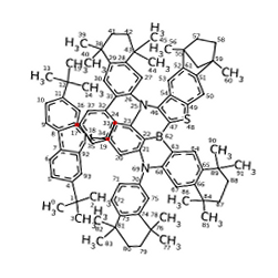 CC(C)(C)c1ccc2c3ccc(C(C)(C)C)cc3n(-c3cc4c5c(c3)N(c3cc6c(cc3-c3ccccc3)C(C)(C)CCC6(C)C)c3c(sc6cc7c(cc36)C3(C)CCC7(C)C3)B5c3cc5c(cc3N4c3ccc4c(c3)C(C)(C)CCC4(C)C)C(C)(C)CCC5(C)C)c2c1